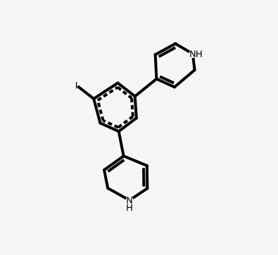 Ic1cc(C2=CCNC=C2)cc(C2=CCNC=C2)c1